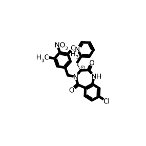 Cc1cc(CN2C(=O)c3ccc(Cl)cc3NC(=O)[C@H]2Cc2ccccn2)cc(C)c1[N+](=O)[O-]